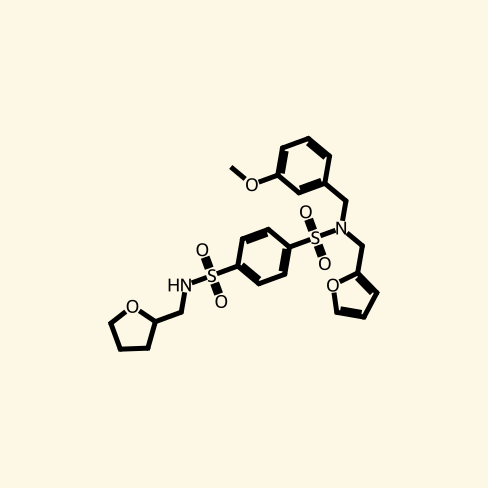 COc1cccc(CN(Cc2ccco2)S(=O)(=O)c2ccc(S(=O)(=O)NCC3CCCO3)cc2)c1